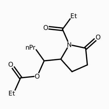 CCCC(OC(=O)CC)C1CCC(=O)N1C(=O)CC